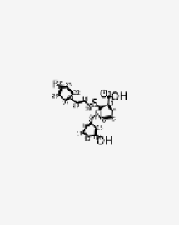 O=C(O)C1=CC=CN(Cc2cccc(O)c2)C1SCCCc1ccc(F)cc1